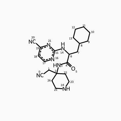 N#CCC1(NC(=O)C(CC2CCCCC2)Nc2nccc(C#N)n2)CCNCC1